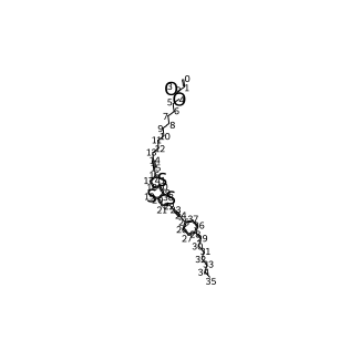 C=CC(=O)OCCCCCCCCCC#Cc1cc2sc3cc(C#Cc4ccc(CCCCCCC)cc4)sc3c2s1